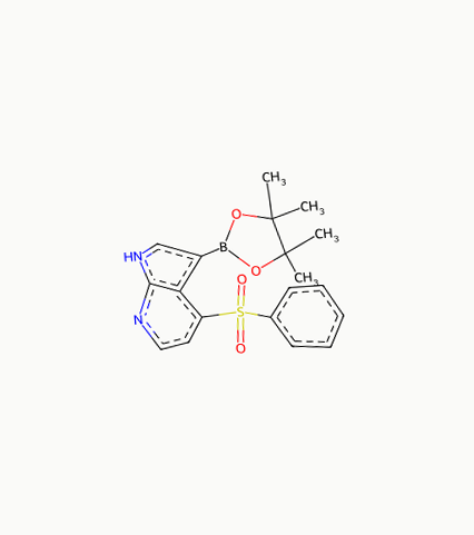 CC1(C)OB(c2c[nH]c3nccc(S(=O)(=O)c4ccccc4)c23)OC1(C)C